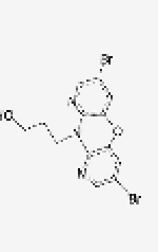 OCCCN1c2ncc(Br)cc2Oc2cc(Br)cnc21